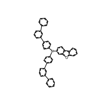 c1ccc(-c2cccc(-c3ccc(N(c4ccc(-c5cccc(-c6ccccc6)c5)cc4)c4ccc5c(c4)oc4ccccc45)cc3)c2)cc1